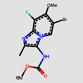 COc1c(Br)cn2c(NC(=O)OC(C)(C)C)c(C)nc2c1F